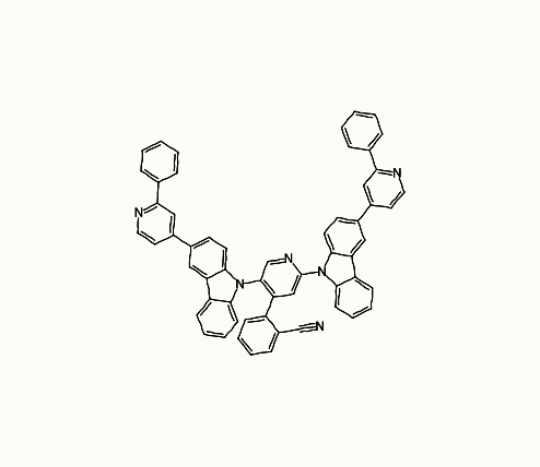 N#Cc1ccccc1-c1cc(-n2c3ccccc3c3cc(-c4ccnc(-c5ccccc5)c4)ccc32)ncc1-n1c2ccccc2c2cc(-c3ccnc(-c4ccccc4)c3)ccc21